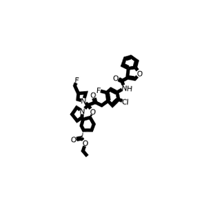 CCOC(=O)[C@H]1CC[C@H](OC(C(=O)Cc2cc(Cl)c(NC(=O)c3coc4ccccc34)cc2F)(N2CCCC2)N2CC(CF)C2)CC1